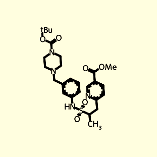 COC(=O)c1ccc(CC(C)S(=O)(=O)Nc2cccc(CN3CCN(C(=O)OC(C)(C)C)CC3)c2)nc1